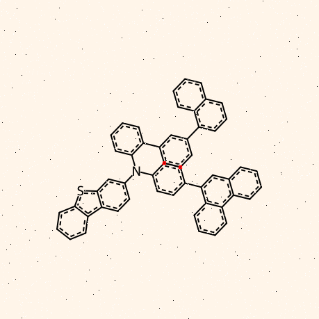 c1cc(-c2ccccc2N(c2ccc(-c3cc4ccccc4c4ccccc34)cc2)c2ccc3c(c2)sc2ccccc23)cc(-c2cccc3ccccc23)c1